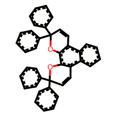 C1=CC(c2ccccc2)(c2ccccc2)Oc2c3c(c4ccccc4c21)C=CC(c1ccccc1)(c1ccccc1)O3